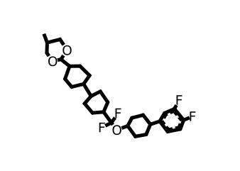 CC1COC(C2CCC(C3CCC(C(F)(F)OC4CCC(c5ccc(F)c(F)c5)CC4)CC3)CC2)OC1